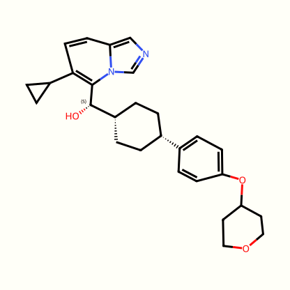 O[C@H](c1c(C2CC2)ccc2cncn12)[C@H]1CC[C@@H](c2ccc(OC3CCOCC3)cc2)CC1